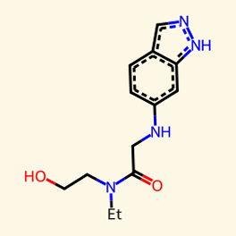 CCN(CCO)C(=O)CNc1ccc2cn[nH]c2c1